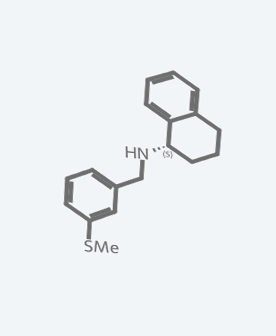 CSc1cccc(CN[C@H]2CCCc3ccccc32)c1